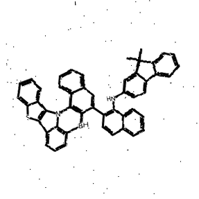 CC1(C)c2ccccc2-c2ccc(Nc3c(-c4cc5ccccc5c5c4Bc4cccc6c7sc8ccccc8c7n-5c46)ccc4ccccc34)cc21